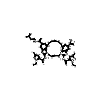 C=C(C)CCNC(=C)c1cc2c3c(c1)nc(NC(=C)c1cc(C)nn1CC)n3C/C=C/Cn1c(NC(=C)c3cc(C)nn3CC)nc3cc(C(=C)N)cc(c31)CCCCC2